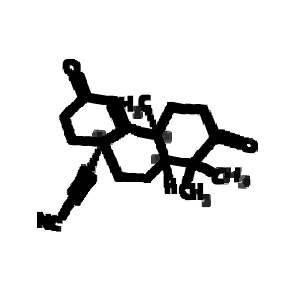 CC1(C)C(=O)CC[C@]2(C)C3=CC(=O)CC[C@]3(C#CC#N)CC[C@@H]12